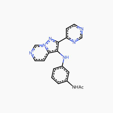 CC(=O)Nc1cccc(Nc2c(-c3ccncn3)nn3cnccc23)c1